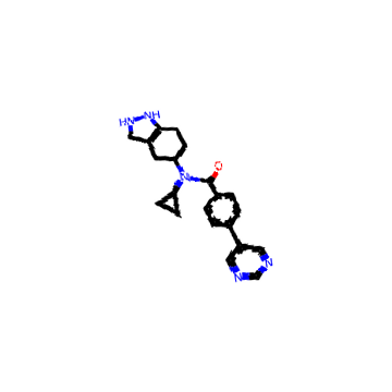 O=C(c1ccc(-c2cncnc2)cc1)N(C1CC1)C1CCC2=C(CNN2)C1